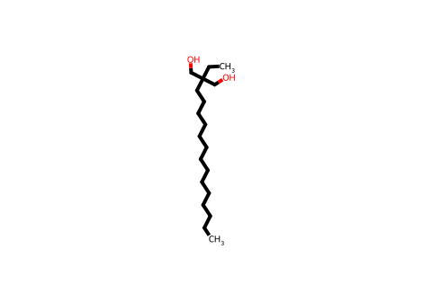 CCCCCCCCCCCCCCC(CC)(CO)CO